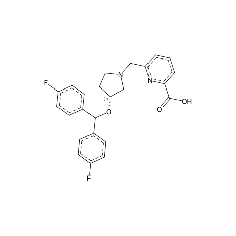 O=C(O)c1cccc(CN2CC[C@@H](OC(c3ccc(F)cc3)c3ccc(F)cc3)C2)n1